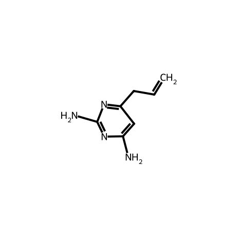 C=CCc1cc(N)nc(N)n1